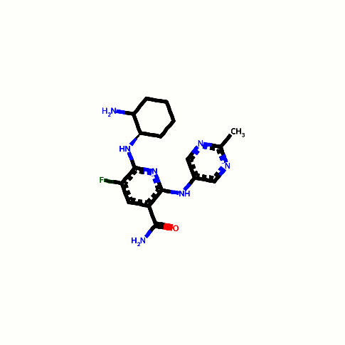 Cc1ncc(Nc2nc(N[C@@H]3CCCCC3N)c(F)cc2C(N)=O)cn1